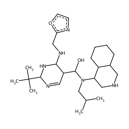 CC(C)CN(C(O)C1C=NC(C(C)(C)C)NC1NCc1ncco1)C1CNCC2CCCCC21